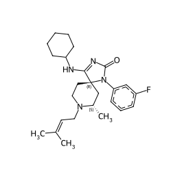 CC(C)=CCN1CC[C@@]2(C[C@@H]1C)C(NC1CCCCC1)=NC(=O)N2c1cccc(F)c1